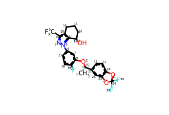 C[C@H](Oc1cc(-n2nc(C(F)(F)F)c3c2C(O)CCC3)ccc1F)c1ccc2c(c1)OC(F)(F)O2